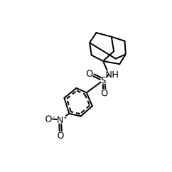 O=[N+]([O-])c1ccc(S(=O)(=O)NC23CC4CC(CC(C4)C2)C3)cc1